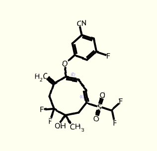 C=C1CC(F)(F)C(C)(O)C/C(S(=O)(=O)C(F)F)=C\C=C/1Oc1cc(F)cc(C#N)c1